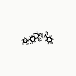 CCC(=NOC(=O)c1ccccc1)C(=O)c1ccc(-c2cccs2)cc1